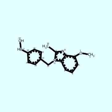 COc1cccc2c1nc(C)n2Cc1ccc(BO)cc1